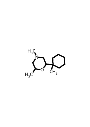 CC1CN(C)CC(C2(C)CCCCC2)O1